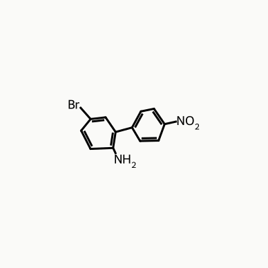 Nc1ccc(Br)cc1-c1ccc([N+](=O)[O-])cc1